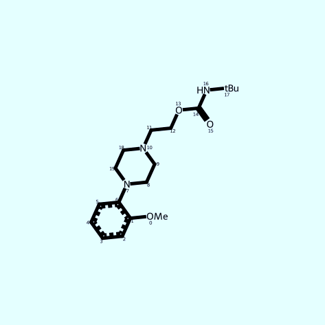 COc1ccccc1N1CCN(CCOC(=O)NC(C)(C)C)CC1